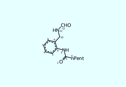 CCCCCC(=O)Nc1ccccc1CNC=O